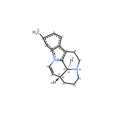 Cc1ccc2c3c4n(c2c1)C=C[C@H]1CCCN(CC3)[C@H]41